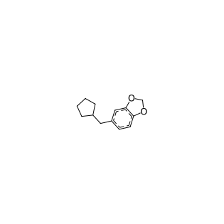 c1cc2c(cc1CC1CCCC1)OCO2